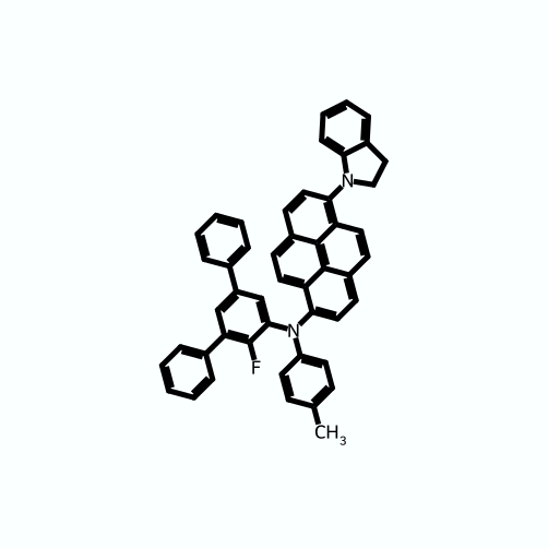 Cc1ccc(N(c2cc(-c3ccccc3)cc(-c3ccccc3)c2F)c2ccc3ccc4c(N5CCc6ccccc65)ccc5ccc2c3c54)cc1